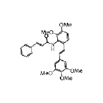 COc1cc(C=Cc2ccc(OC)c(OC)c2NC(=O)/C=C/c2ccccc2)cc(OC)c1OC